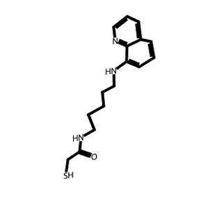 O=C(CS)NCCCCCNc1cccc2cccnc12